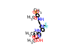 COCC(O)(CN1CCC(Nc2cccc3c2cc(C#CCNc2ccc(S(C)(=O)=O)cc2OC)n3CC(F)(F)F)CC1)OC(=O)C(C)C